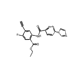 C#Cc1cc(NC(=O)c2ccc(-n3ccnc3)nn2)c(C(=O)OCC)cc1F